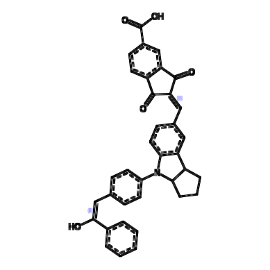 O=C(O)c1ccc2c(c1)C(=O)/C(=C/c1ccc3c(c1)C1CCCC1N3c1ccc(/C=C(/O)c3ccccc3)cc1)C2=O